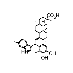 Cc1ccc2c(C3C=C4[C@@](C)(CC[C@@]5(C)[C@@H]6C[C@](C)(C(=O)O)CC[C@]6(C)CC[C@]45C)c4cc(O)c(O)c(C)c43)c[nH]c2c1